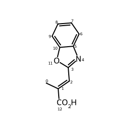 C/C(=C\c1nc2ccccc2o1)C(=O)O